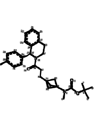 CN(C(=O)OC(C)(C)C)C12CC(CCC(=O)N3CCc4ccccc4[C@@H]3c3ccc(F)cc3)(C1)C2